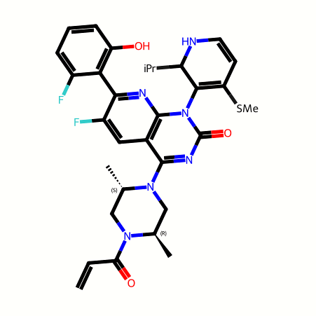 C=CC(=O)N1C[C@H](C)N(c2nc(=O)n(C3=C(SC)C=CNC3C(C)C)c3nc(-c4c(O)cccc4F)c(F)cc23)C[C@H]1C